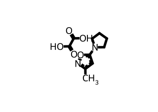 Cc1cc(N2CCCC2)on1.O=C(O)C(=O)O